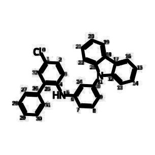 Clc1ccc(Nc2cccc(-n3c4ccccc4c4ccccc43)c2)c(-c2ccccc2)c1